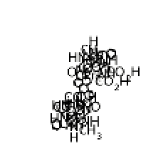 CC(NC(=O)CN1C(=O)C2=CC=c3c4c(c5ccc6c7c(ccc3c57)C(=O)N(CC(=O)NC(C)C(=O)N[C@@H](Cc3ccccc3)C(=O)N[C@@H](CC(=O)O)C(=O)N[C@H](C(=O)O)C(C)C)C6=O)C=CC(C1=O)C24)C(=O)N[C@@H](Cc1ccccc1)C(=O)NC(CC(=O)O)C(=O)N[C@H](C(=O)O)C(C)C